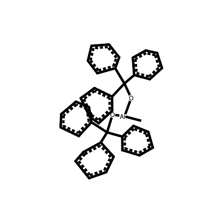 [CH3][Al]([O]C(c1ccccc1)(c1ccccc1)c1ccccc1)[O]C(c1ccccc1)(c1ccccc1)c1ccccc1